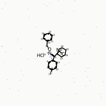 Cl.Fc1ccc(/C(=N/OCc2ccccc2)C2CC3CCN2CC3)cc1